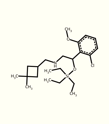 CC[Si](CC)(CC)OC(CNCC1CC(C)(C)C1)c1c(Cl)cccc1OC